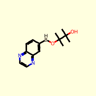 CC(C)(O)C(C)(C)OBc1ccc2nccnc2c1